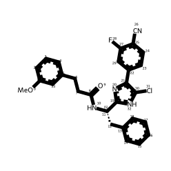 COc1cccc(CCC(=O)N[C@@H](Cc2ccccc2)c2nc(-c3ccc(C#N)c(F)c3)c(Cl)[nH]2)c1